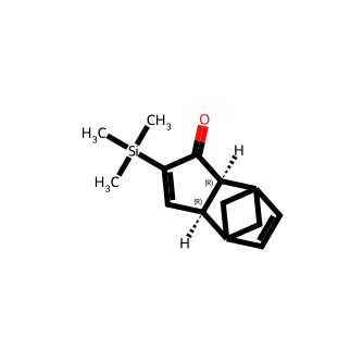 C[Si](C)(C)C1=C[C@H]2[C@@H](C1=O)C13C=CC2(C1)C3